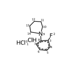 Cl.Cl.Fc1ccccc1N1CCCCC1